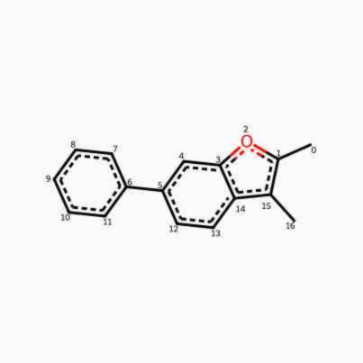 Cc1oc2cc(-c3ccccc3)ccc2c1C